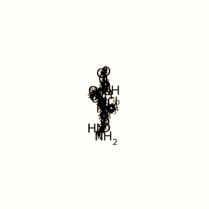 COC(=O)COc1ccc2[nH]cc(CC(NC(=O)c3ccc4c(c3)nc(-c3ccc(OCC(=O)NCCN)cc3)n4C3CCCCC3)C(=O)OC)c2c1.Cl